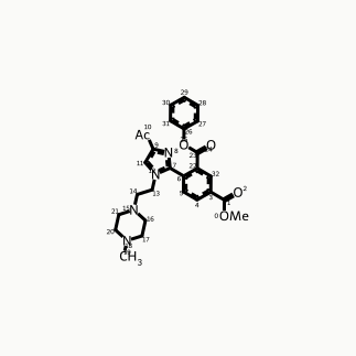 COC(=O)c1ccc(-c2nc(C(C)=O)cn2CCN2CCN(C)CC2)c(C(=O)Oc2ccccc2)c1